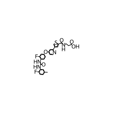 Cc1ccc(F)c(NC(=O)Nc2ccc(Oc3ccnc(-c4csc(C(=O)NCCC(=O)O)c4)c3)cc2F)c1